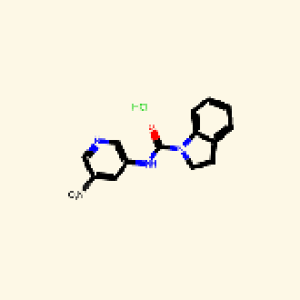 Cl.O=C(Nc1cncc([N+](=O)[O-])c1)N1CCc2ccccc21